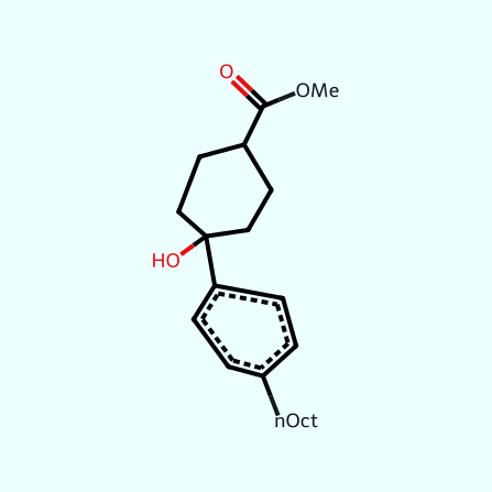 CCCCCCCCc1ccc(C2(O)CCC(C(=O)OC)CC2)cc1